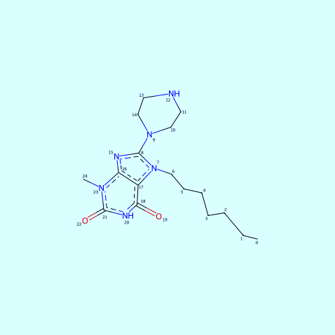 CCCCCCCn1c(N2CCNCC2)nc2c1c(=O)[nH]c(=O)n2C